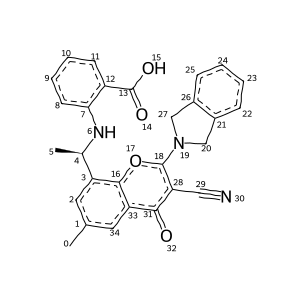 Cc1cc([C@@H](C)Nc2ccccc2C(=O)O)c2oc(N3Cc4ccccc4C3)c(C#N)c(=O)c2c1